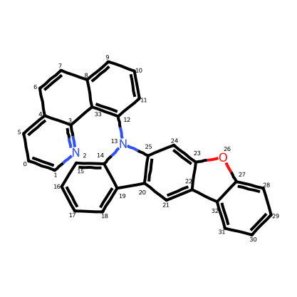 c1cnc2c(c1)ccc1cccc(-n3c4ccccc4c4cc5c(cc43)oc3ccccc35)c12